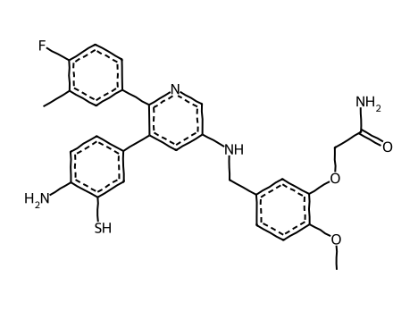 COc1ccc(CNc2cnc(-c3ccc(F)c(C)c3)c(-c3ccc(N)c(S)c3)c2)cc1OCC(N)=O